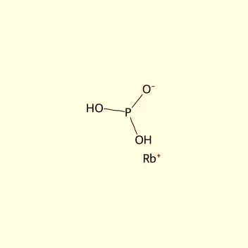 [O-]P(O)O.[Rb+]